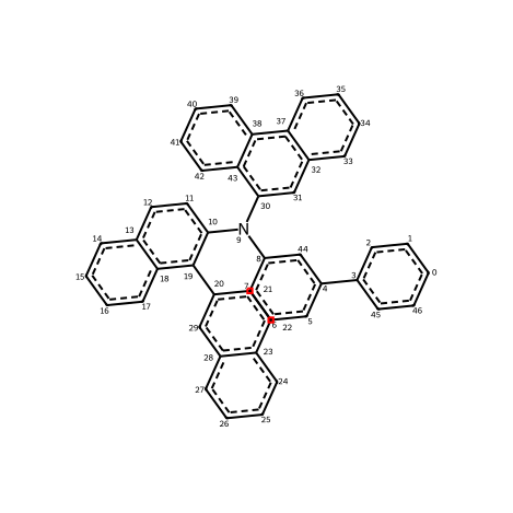 c1ccc(-c2cccc(N(c3ccc4ccccc4c3-c3ccc4ccccc4c3)c3cc4ccccc4c4ccccc34)c2)cc1